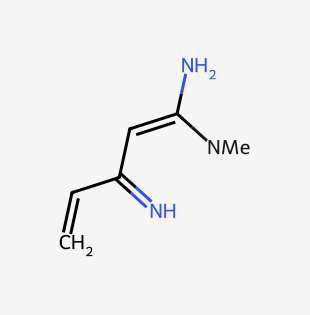 C=CC(=N)/C=C(/N)NC